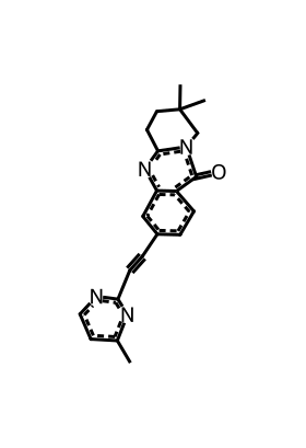 Cc1ccnc(C#Cc2ccc3c(=O)n4c(nc3c2)CCC(C)(C)C4)n1